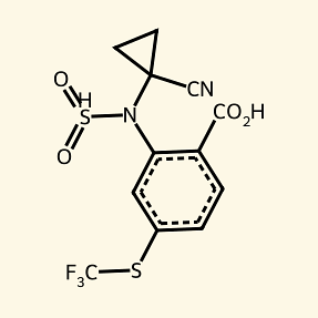 N#CC1(N(c2cc(SC(F)(F)F)ccc2C(=O)O)[SH](=O)=O)CC1